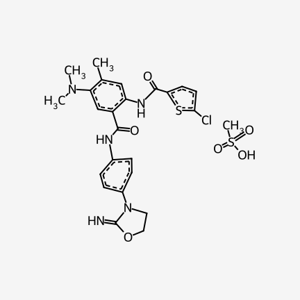 CS(=O)(=O)O.Cc1cc(NC(=O)c2ccc(Cl)s2)c(C(=O)Nc2ccc(N3CCOC3=N)cc2)cc1N(C)C